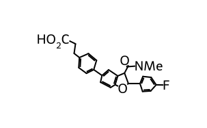 CNC(=O)C1c2cc(-c3ccc(CCC(=O)O)cc3)ccc2OC1c1ccc(F)cc1